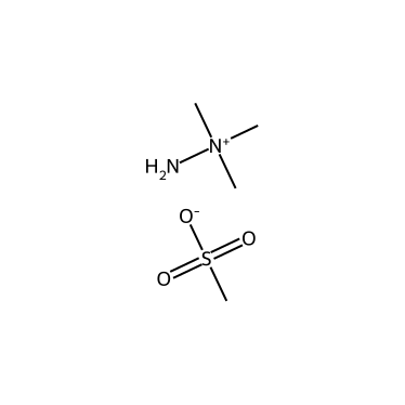 CS(=O)(=O)[O-].C[N+](C)(C)N